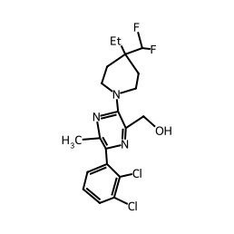 CCC1(C(F)F)CCN(c2nc(C)c(-c3cccc(Cl)c3Cl)nc2CO)CC1